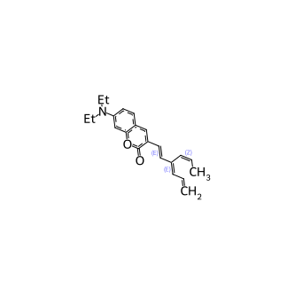 C=C/C=C(\C=C/C)/C=C/c1cc2ccc(N(CC)CC)cc2oc1=O